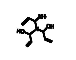 C=CC([NH])N(C(O)C=C)C(O)C=C